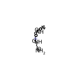 CCN(CC)c1ccc(C(=O)NC2CCc3cc(/C=C/C(=O)NCCCCCC(N)=O)ccc32)cc1